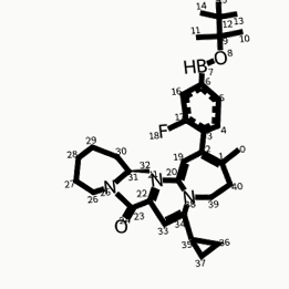 CC1=C(c2ccc(BOC(C)(C)C(C)(C)O)cc2F)C=C2N=C(C(=O)N3CCCCC[C@H]3C)C=C(C3CC3)N2CC1